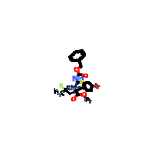 CC(C)OC(=O)[C@](CC(C)(C)F)(NC(=S)NC(=O)OCc1ccccc1)c1ccc(Br)cc1